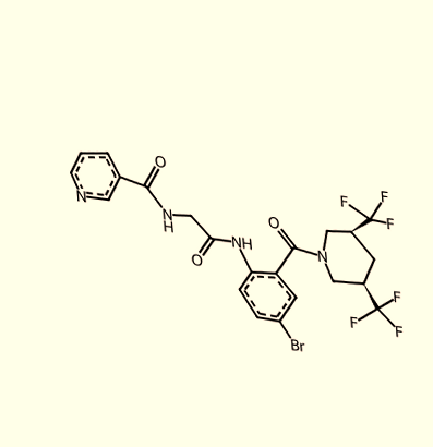 O=C(CNC(=O)c1cccnc1)Nc1ccc(Br)cc1C(=O)N1C[C@H](C(F)(F)F)C[C@H](C(F)(F)F)C1